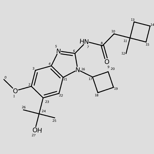 COc1cc2nc(NC(=O)CC3(C)CCC3)n(C3CCC3)c2cc1C(C)(C)O